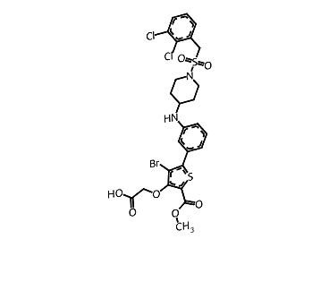 COC(=O)c1sc(-c2cccc(NC3CCN(S(=O)(=O)Cc4cccc(Cl)c4Cl)CC3)c2)c(Br)c1OCC(=O)O